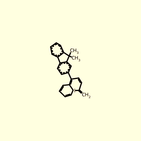 C=C(I)/C=C\C(=C1\C=CC=CC1)c1ccc2c(c1)C(C)(C)c1ccccc1-2